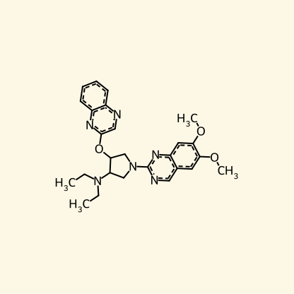 CCN(CC)C1CN(c2ncc3cc(OC)c(OC)cc3n2)CC1Oc1cnc2ccccc2n1